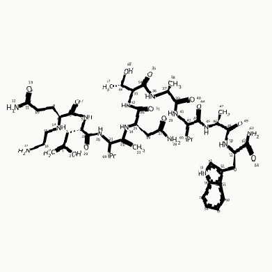 C=C(O)C[C@H](NC(=O)[C@H](CCC(N)=O)NCCN)C(=O)NC(C(=C)N[C@H](CC(N)=O)C(=O)NC(C(=O)N[C@@H](C)C(=O)NC(C(=O)N[C@@H](C)C(=O)N[C@H](Cc1c[nH]c2ccccc12)C(N)=O)C(C)C)[C@H](C)O)C(C)C